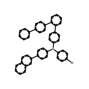 Brc1ccc(N(c2ccc(-c3ccc4ccccc4c3)cc2)c2ccc(-c3ccccc3-c3ccc(-c4ccccc4)cc3)cc2)cc1